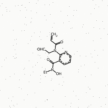 C=CC(=O)N(C[C]=O)c1ncccc1C(=O)N(O)CC